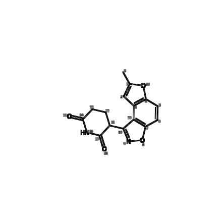 Cc1cc2c(ccc3onc(C4CCC(=O)NC4=O)c32)o1